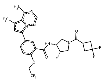 Nc1ncnn2c(-c3ccc(OCC(F)(F)F)c(C(=O)N[C@@H]4CN(C(=O)C5CC(F)(F)C5)C[C@@H]4F)c3)cc(C(F)(F)F)c12